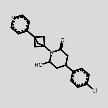 O=C1CC(c2ccc(Cl)cc2)CC(O)N1C12CC(c3ccncc3)(C1)C2